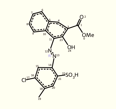 COC(=O)c1cc2ccccc2c(/N=N/c2cc(Cl)c(C)cc2S(=O)(=O)O)c1O